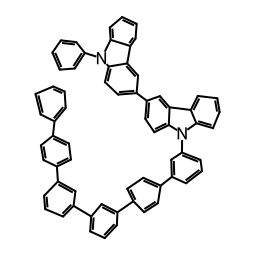 c1ccc(-c2ccc(-c3cccc(-c4cccc(-c5ccc(-c6cccc(-n7c8ccccc8c8cc(-c9ccc%10c(c9)c9ccccc9n%10-c9ccccc9)ccc87)c6)cc5)c4)c3)cc2)cc1